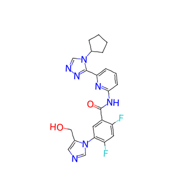 O=C(Nc1cccc(-c2nncn2C2CCCC2)n1)c1cc(-n2cncc2CO)c(F)cc1F